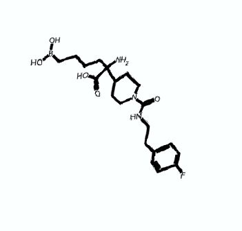 NC(CCCCB(O)O)(C(=O)O)C1CCN(C(=O)NCCc2ccc(F)cc2)CC1